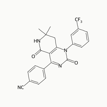 CC1(C)Cc2c(c(-c3ccc(C#N)cc3)nc(=O)n2-c2cccc(C(F)(F)F)c2)C(=O)N1